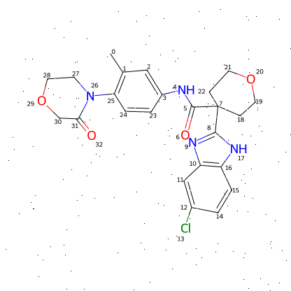 Cc1cc(NC(=O)C2(c3nc4cc(Cl)ccc4[nH]3)CCOCC2)ccc1N1CCOCC1=O